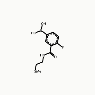 CSCCNC(=O)c1cc(B(O)O)ccc1F